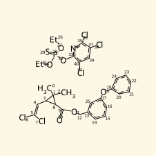 CC1(C)C(C=C(Cl)Cl)C1C(=O)OCc1cccc(Oc2ccccc2)c1.CCOP(=S)(OCC)Oc1nc(Cl)c(Cl)cc1Cl